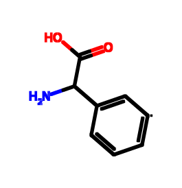 NC(C(=O)O)c1c[c]ccc1